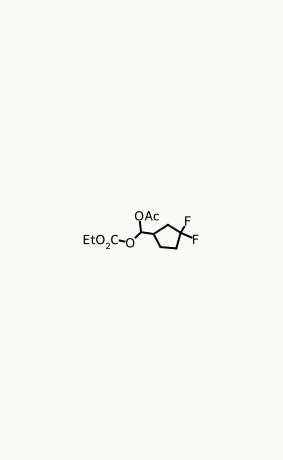 CCOC(=O)OC(OC(C)=O)C1CCC(F)(F)C1